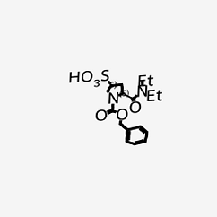 CCN(CC)C(=O)[C@@H]1C[C@H](S(=O)(=O)O)CN1C(=O)OCc1ccccc1